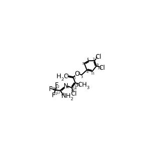 C=C(OCc1ccc(Cl)c(Cl)c1)/C(C)=C(Cl)\N=C(/N)C(F)(F)F